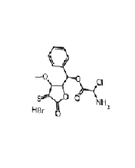 Br.COC1C(=S)C(=O)OC1C(OC(=O)C(N)Cl)c1ccccc1